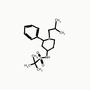 C[C](C)CN1CCC(NS(=O)(=O)C(C)(C)C)CC1c1ccccc1